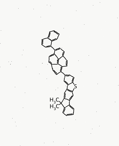 CC1(C)c2ccccc2-c2cc3sc4ccc(-c5ccc6ccc7c(-c8cccc9ccccc89)ccc8ccc5c6c87)cc4c3cc21